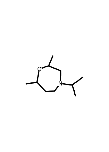 CC1CCN(C(C)C)CC(C)O1